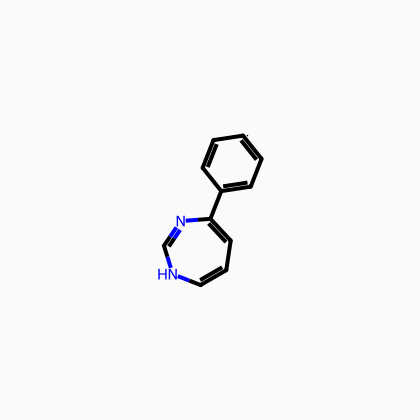 [c]1ccc(C2=CC=CNC=N2)cc1